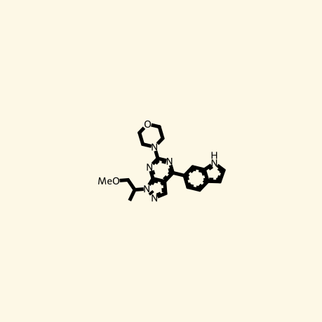 COCC(C)n1ncc2c(-c3ccc4cc[nH]c4c3)nc(N3CCOCC3)nc21